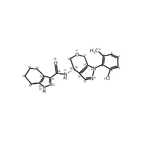 Cc1cccc(Cl)c1-n1ncc2c1COC[C@H]2NC(=O)c1n[nH]c2c1CCCC2